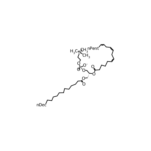 CCCCC/C=C\C/C=C\C/C=C\CCCCC(=O)O[C@H](COC(=O)CCCCCCCCCCCCCCCCCCCCC)COP(=O)([O-])OCC[N+](C)(C)C